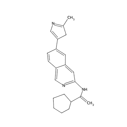 C=C(Nc1cc2cc(C3=CN=C(C)C3)ccc2cn1)C1CCCCC1